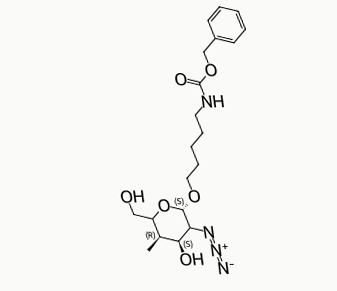 C[C@H]1C(CO)O[C@H](OCCCCCNC(=O)OCc2ccccc2)C(N=[N+]=[N-])[C@H]1O